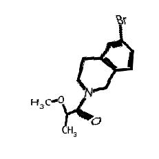 COC(C)C(=O)N1CCc2cc(Br)ccc2C1